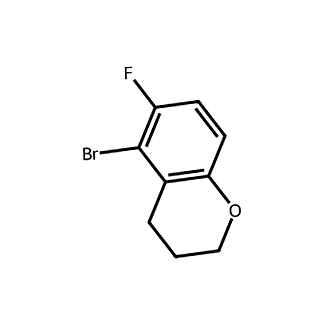 Fc1ccc2c(c1Br)CCCO2